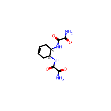 NC(=O)C(=O)N[C@H]1CC=CC[C@H]1NC(=O)C(N)=O